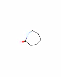 O=C1[CH]CCCCN1